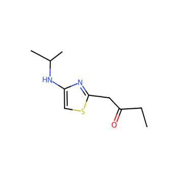 CCC(=O)Cc1nc(NC(C)C)cs1